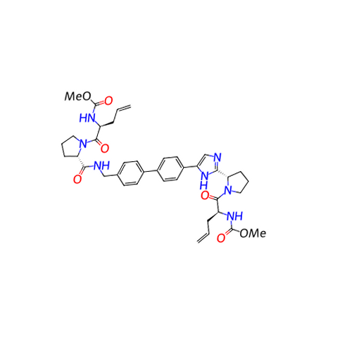 C=CC[C@H](NC(=O)OC)C(=O)N1CCC[C@H]1C(=O)NCc1ccc(-c2ccc(-c3cnc([C@@H]4CCCN4C(=O)[C@H](CC=C)NC(=O)OC)[nH]3)cc2)cc1